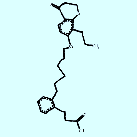 CCCc1c(OCCCCCCc2ccccc2CCC(=O)O)ccc2c1OCCC2=O